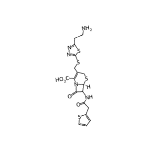 NCCc1nnc(SCC2=C(C(=O)O)N3C(=O)C(NC(=O)Cc4cccs4)[C@@H]3SC2)s1